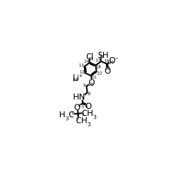 CC(C)(C)OC(=O)NCCOc1ccc(Cl)c(C(S)C(=O)[O-])c1.[Li+]